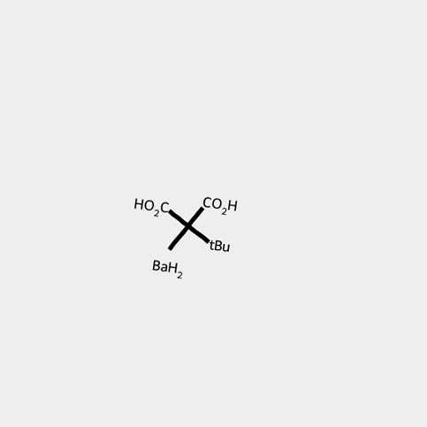 CC(C)(C)C(C)(C(=O)O)C(=O)O.[BaH2]